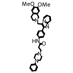 COc1cc2c(cc1OC)CN(Cc1c(-c3ccc(NC(=O)CCN4CCN(c5ccccc5)CC4)cc3)nc3ccccn13)CC2